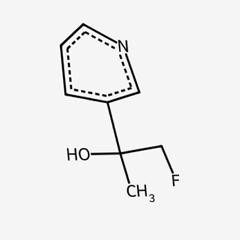 CC(O)(CF)c1cccnc1